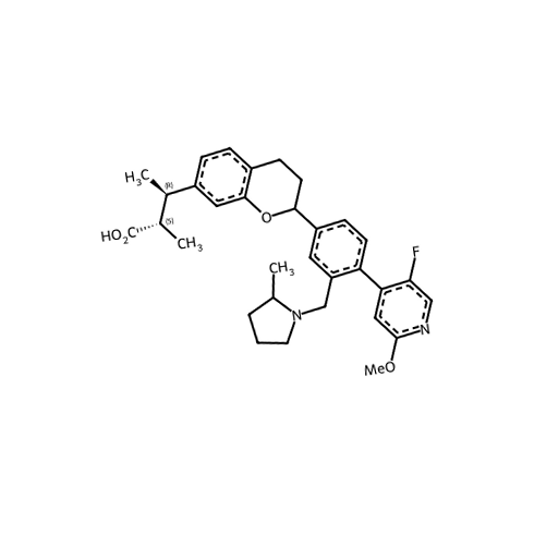 COc1cc(-c2ccc(C3CCc4ccc([C@H](C)[C@H](C)C(=O)O)cc4O3)cc2CN2CCCC2C)c(F)cn1